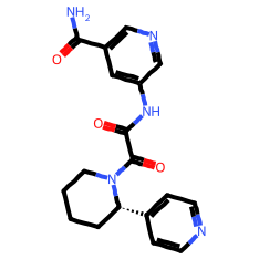 NC(=O)c1cncc(NC(=O)C(=O)N2CCCC[C@H]2c2ccncc2)c1